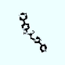 O=C(Cn1cnc(-c2ccncc2)c1)Nc1ccc(-c2cncnc2)cn1